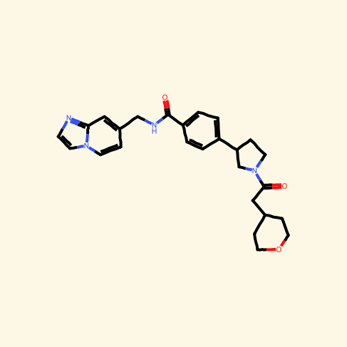 O=C(NCc1ccn2ccnc2c1)c1ccc(C2CCN(C(=O)CC3CCOCC3)C2)cc1